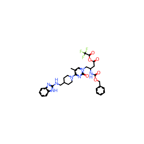 Cc1cn(CC(CC(=O)OC(=O)C(F)(F)F)NC(=O)OCc2ccccc2)c(=O)nc1N1CCC(CNc2nc3ccccc3[nH]2)CC1